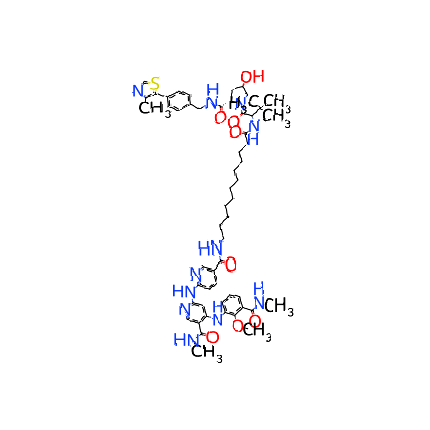 CNC(=O)c1cnc(Nc2ccc(C(=O)NCCCCCCCCCCCC(=O)N[C@H](C(=O)N3C[C@H](O)C[C@H]3C(=O)NCc3ccc(-c4scnc4C)cc3)C(C)(C)C)cn2)cc1Nc1cccc(C(=O)NC)c1OC